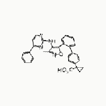 Cc1noc(-c2ccccc2-c2ccc(C3(C(=O)O)CC3)cc2)c1Nc1nccc(-c2ccccc2)n1